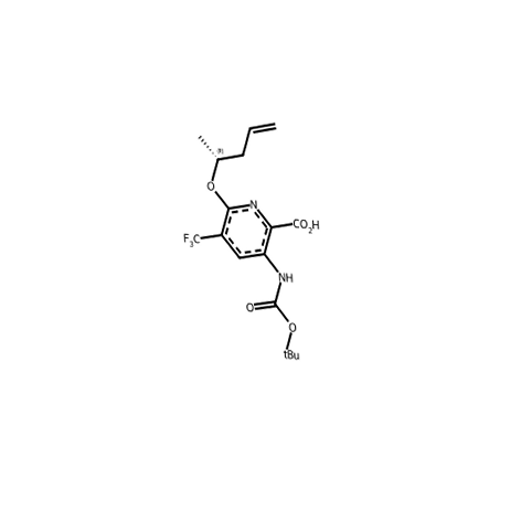 C=CC[C@@H](C)Oc1nc(C(=O)O)c(NC(=O)OC(C)(C)C)cc1C(F)(F)F